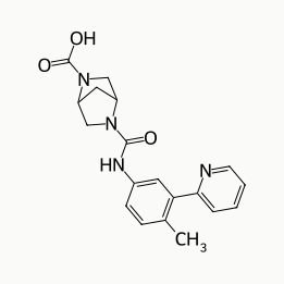 Cc1ccc(NC(=O)N2CC3CC2CN3C(=O)O)cc1-c1ccccn1